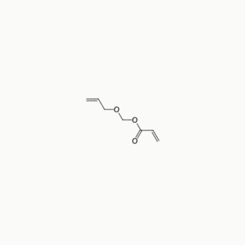 C=CCOCOC(=O)C=C